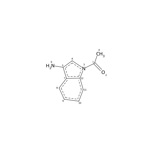 CC(=O)n1cc(N)c2ccccc21